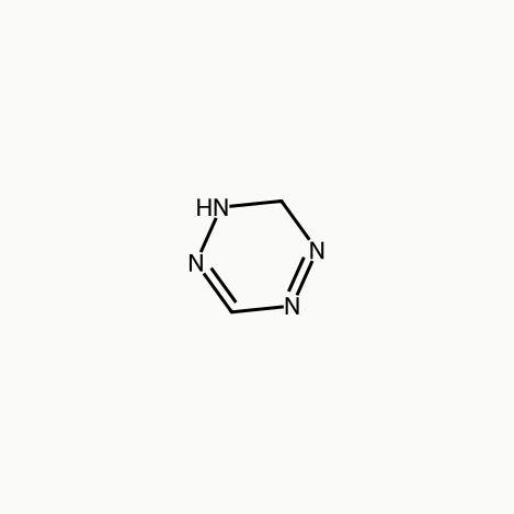 C1=NNCN=N1